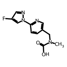 CN(Cc1ccc(-n2cc(F)cn2)nc1)C(=O)O